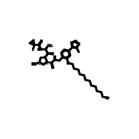 Cc1ncsc1-c1ccc(CNC(=O)[C@@H]2C[C@@H](O)CN2C(=O)C(NC(=O)C2(F)CC2)C(C)(C)C)c(OCCCCCCCCCCCCBr)c1